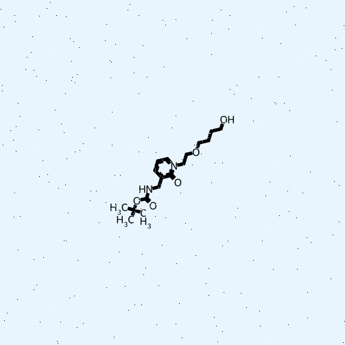 CC(C)(C)OC(=O)NCc1cccn(CCOCCCCO)c1=O